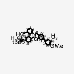 C#Cc1cccc(N(CC23CCC(c4ccc(OC)c(C)c4)(CC2)CC3)C(=O)C2CCC(O[Si](C)(C)C(C)(C)C)CC2)c1